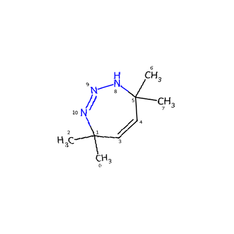 CC1(C)C=CC(C)(C)NN=N1